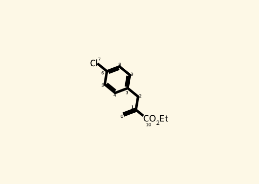 C=C(Cc1ccc(Cl)cc1)C(=O)OCC